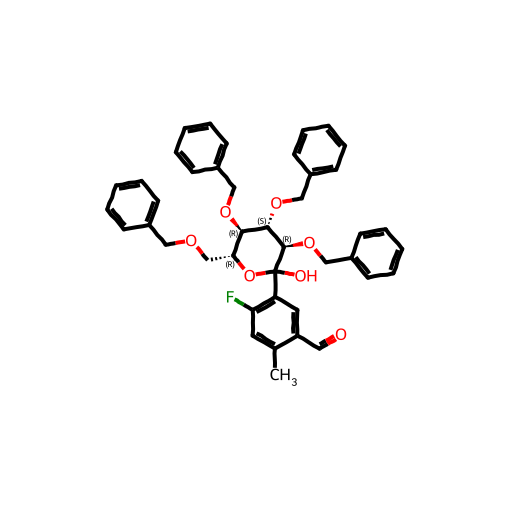 Cc1cc(F)c(C2(O)O[C@H](COCc3ccccc3)[C@@H](OCc3ccccc3)[C@H](OCc3ccccc3)[C@H]2OCc2ccccc2)cc1C=O